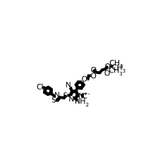 [C-]#[N+]c1c(N)nc(SCc2csc(-c3ccc(Cl)cc3)n2)c(C#N)c1-c1ccc(OCCOC(=O)CCC(=O)OC(C)(C)C)cc1